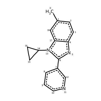 Cc1ccc2nc(-c3cccnc3)n(C3CC3)c2c1